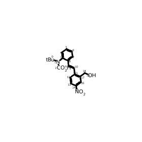 CC(C)(C)N(C(=O)O)c1ccccc1C=Cc1ccc([N+](=O)[O-])cc1CO